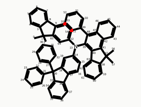 CC1(C)c2ccccc2-c2ccc(N(c3ccc4c(c3)C(c3ccccc3)(c3ccccc3)c3ccccc3-4)c3c4c(c5ccccc5c3-c3ccccc3)C(C)(C)c3ccccc3-4)cc21